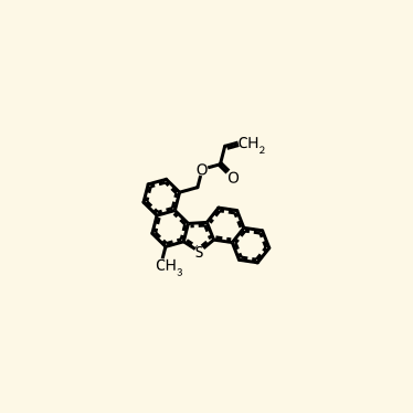 C=CC(=O)OCc1cccc2cc(C)c3sc4c5ccccc5ccc4c3c12